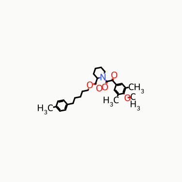 COc1c(C)cc(C(=O)C(=O)N2CCCCC2C(=O)OCCCCCc2ccc(C)cc2)cc1C